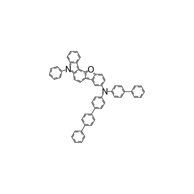 c1ccc(-c2ccc(-c3ccc(N(c4ccc(-c5ccccc5)cc4)c4ccc5oc6c(ccc7c6c6ccccc6n7-c6ccccc6)c5c4)cc3)cc2)cc1